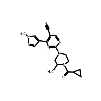 CC1CN(c2ncc(C#N)c(-c3cnn(C)c3)n2)CCN1C(=O)C1CC1